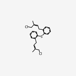 CC(=CCc1ccccc1Sc1ccccc1CC=C(C)CCl)CCl